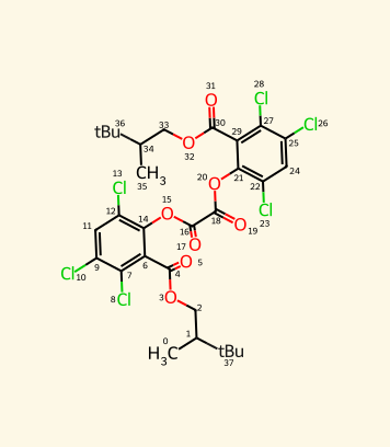 CC(COC(=O)c1c(Cl)c(Cl)cc(Cl)c1OC(=O)C(=O)Oc1c(Cl)cc(Cl)c(Cl)c1C(=O)OCC(C)C(C)(C)C)C(C)(C)C